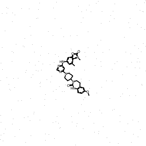 COc1ccc2c(c1)CCN(C1CCN(c3cc(Nc4cc(C)c5c(c4)oc(=O)n5C)ncn3)CC1)C(=O)N2